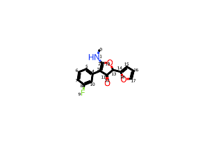 CNC1=C(c2cccc(F)c2)C(=O)C(c2ccco2)O1